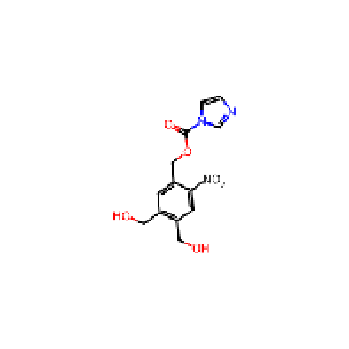 O=C(OCc1cc(CO)c(CO)cc1[N+](=O)[O-])n1ccnc1